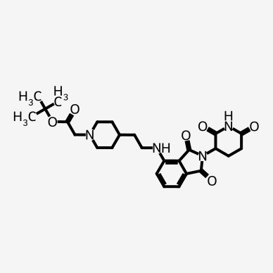 CC(C)(C)OC(=O)CN1CCC(CCNc2cccc3c2C(=O)N(C2CCC(=O)NC2=O)C3=O)CC1